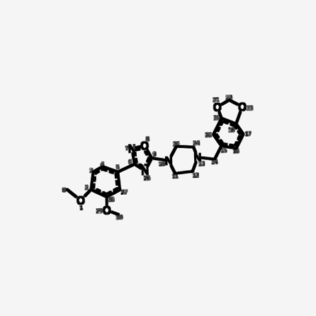 COc1ccc(-c2noc(N3CCN(Cc4ccc5c(c4)OCO5)CC3)n2)cc1OC